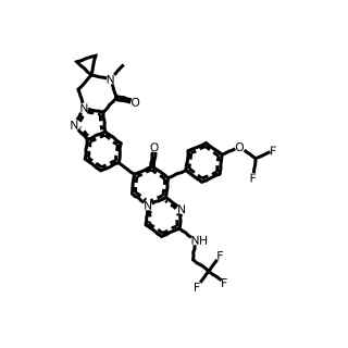 CN1C(=O)c2c3cc(-c4cn5ccc(NCC(F)(F)F)nc5c(-c5ccc(OC(F)F)cc5)c4=O)ccc3nn2CC12CC2